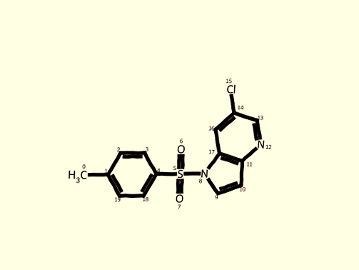 Cc1ccc(S(=O)(=O)n2ccc3ncc(Cl)cc32)cc1